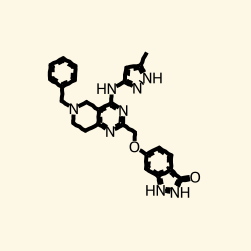 Cc1cc(Nc2nc(COc3ccc4c(=O)[nH][nH]c4c3)nc3c2CN(Cc2ccccc2)CC3)n[nH]1